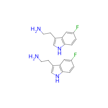 NCCc1c[nH]c2ccc(F)cc12.NCCc1c[nH]c2ccc(F)cc12